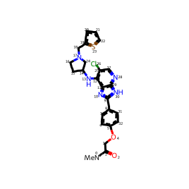 CNC(=O)COc1ccc(-c2nc3c(NC4CCN(Cc5cccs5)C4)c(Cl)cnc3[nH]2)cc1